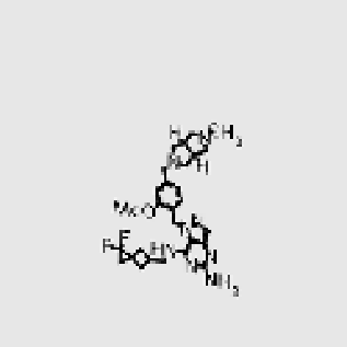 COc1cc(CN2C[C@H]3CN(C)C[C@H]3C2)ccc1Cn1ncc2nc(N)nc(NCC3CC4(C3)CC4(F)F)c21